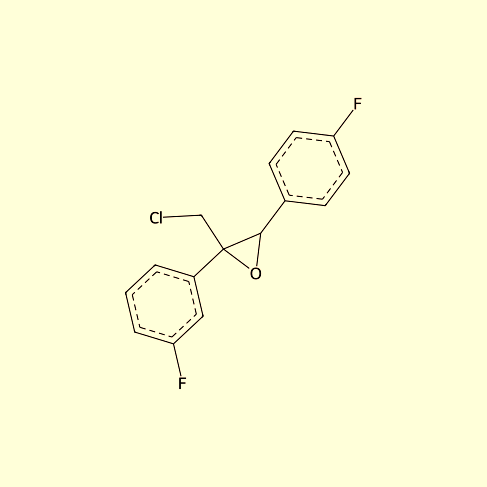 Fc1ccc(C2OC2(CCl)c2cccc(F)c2)cc1